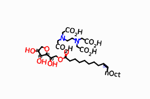 CCCCCCCC/C=C\CCCCCCCC(=O)OC[C@@H](O)[C@H]1OC[C@H](O)[C@H]1O.O=C(O)CN(CCN(CC(=O)O)CC(=O)O)CC(=O)O